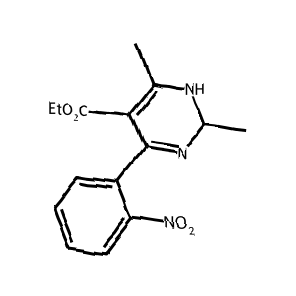 CCOC(=O)C1=C(C)NC(C)N=C1c1ccccc1[N+](=O)[O-]